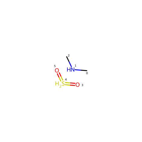 CNC.O=[SH2]=O